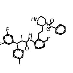 Cc1ccc([C@@H](c2cc(F)cc(F)c2)[C@H](C)C(=O)Nc2cccc(F)c2CC[C@H]2CNCCN2S(=O)(=O)c2ccccc2)cc1